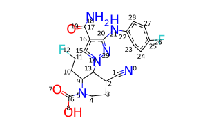 N#CC1CCN(C(=O)O)C(CCF)C1n1cc(C(N)=O)c(Nc2ccc(F)cc2)n1